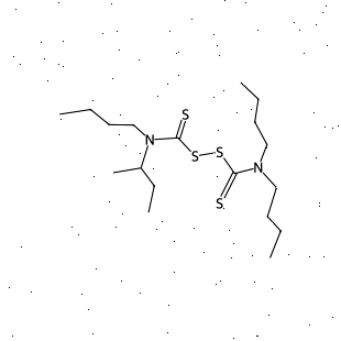 CCCCN(CCCC)C(=S)SSC(=S)N(CCCC)C(C)CC